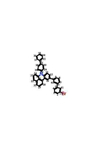 Brc1cccc(-c2cccc(-c3ccc4c(c3)-c3cccc5cccc(c35)N4c3ccc(-c4ccccc4)cc3)c2)c1